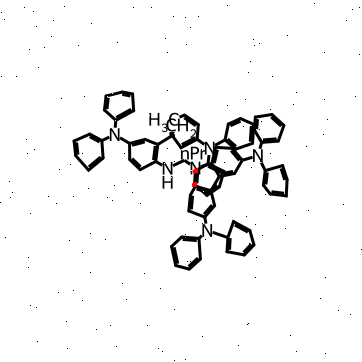 C=C(/C=C(\C=C/C)N(c1ccccc1)c1ccccc1)c1cc(N(c2ccccc2)c2ccccc2)ccc1NC(CCC)n1c2ccc(N(c3ccccc3)c3ccccc3)cc2c2cc(N(c3ccccc3)c3ccccc3)ccc21